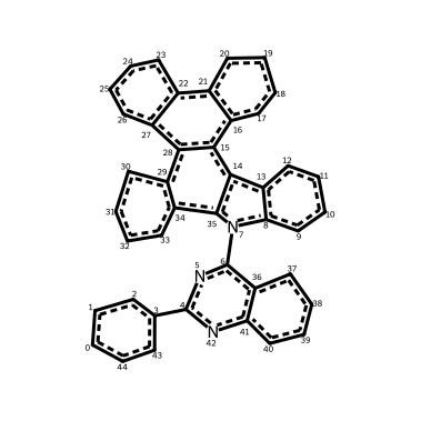 c1ccc(-c2nc(-n3c4ccccc4c4c5c6ccccc6c6ccccc6c5c5ccccc5c43)c3ccccc3n2)cc1